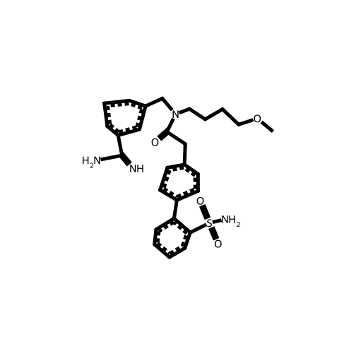 COCCCCN(Cc1cccc(C(=N)N)c1)C(=O)Cc1ccc(-c2ccccc2S(N)(=O)=O)cc1